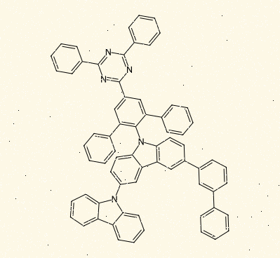 c1ccc(-c2cccc(-c3ccc4c(c3)c3cc(-n5c6ccccc6c6ccccc65)ccc3n4-c3c(-c4ccccc4)cc(-c4nc(-c5ccccc5)nc(-c5ccccc5)n4)cc3-c3ccccc3)c2)cc1